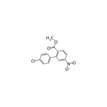 COC(=O)c1ccc([N+](=O)[O-])cc1-c1ccc(Cl)cc1